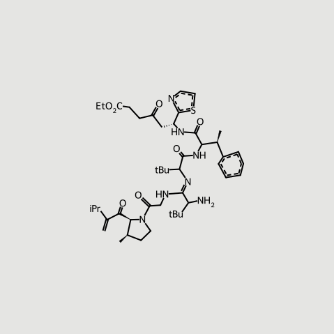 C=C(C(=O)[C@@H]1[C@H](C)CCN1C(=O)CN/C(=N\C(C(=O)NC(C(=O)N[C@H](CC(=O)CCC(=O)OCC)c1nccs1)[C@@H](C)c1ccccc1)C(C)(C)C)C(N)C(C)(C)C)C(C)C